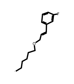 [CH2]CCCCCOCC=Cc1cccc(F)c1